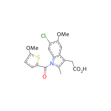 COc1ccc(C(=O)n2c(C)c(CC(=O)O)c3cc(OC)c(Cl)cc32)s1